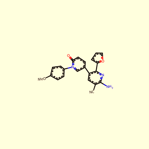 COc1ccc(-n2cc(-c3cc(C#N)c(N)nc3-c3ccco3)ccc2=O)cc1